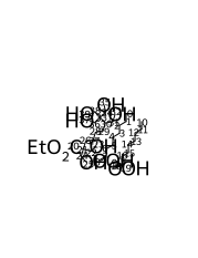 CCCCCCCC(=O)O.CCCCCCCC(=O)O.CCOC(=O)C(CO)(CO)CCCCC(CO)C(CO)(CO)CO